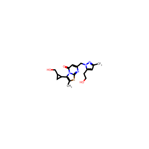 Cc1sc2nc(Cn3nc(C(F)(F)F)cc3CCO)cc(=O)n2c1C1CC1CO